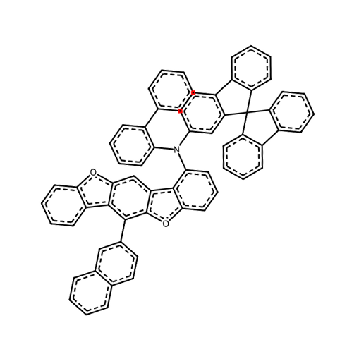 c1ccc(-c2ccccc2N(c2ccc3c(c2)C2(c4ccccc4-c4ccccc42)c2ccccc2-3)c2cccc3oc4c(-c5ccc6ccccc6c5)c5c(cc4c23)oc2ccccc25)cc1